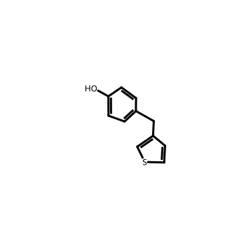 Oc1ccc(Cc2ccsc2)cc1